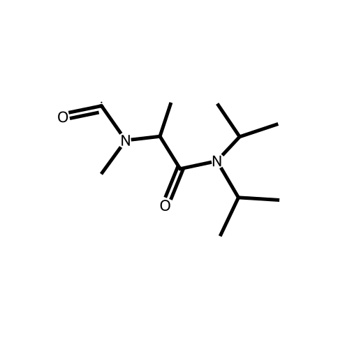 CC(C(=O)N(C(C)C)C(C)C)N(C)[C]=O